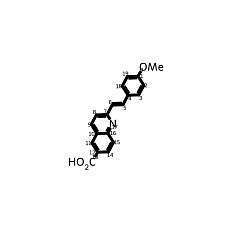 COc1ccc(C=Cc2ccc3cc(C(=O)O)ccc3n2)cc1